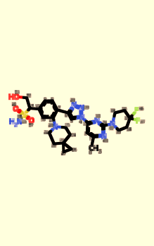 Cc1cc(-n2cc(-c3ccc(C(CO)S(N)(=O)=O)cc3N3CCC4(CC3)CC4)nn2)nc(N2CCC(F)(F)CC2)n1